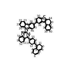 C1=C(C2=c3ccccc3=CCC2)CCC(c2nc(-n3c4ccccc4c4cc(-c5ccc6sc7c(c6c5)-c5ccccc5CC7)ccc43)nc3c2=CCCC=3)=C1